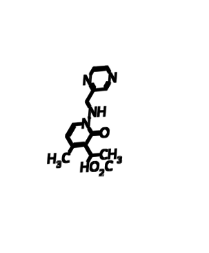 Cc1ccn(NCc2cnccn2)c(=O)c1C(C)C(=O)O